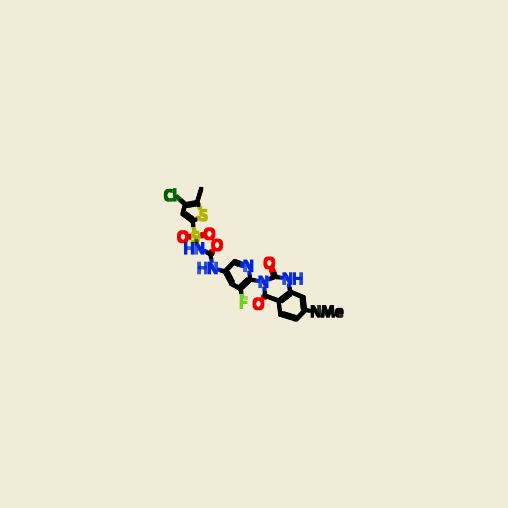 CNc1ccc2c(=O)n(-c3ncc(NC(=O)NS(=O)(=O)c4cc(Cl)c(C)s4)cc3F)c(=O)[nH]c2c1